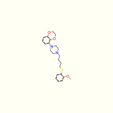 COc1ccccc1SCCCCN1CCN(c2cccc3c2OCCO3)CC1